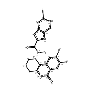 CN(C(=O)c1cc2cc(Br)ncc2[nH]1)[C@H]1COCc2[nH]c(=O)c3cc(F)c(F)cc3c21